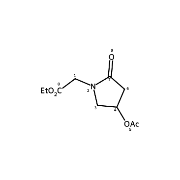 CCOC(=O)CN1CC(OC(C)=O)CC1=O